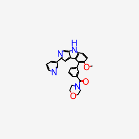 COc1ccc2[nH]c3cnc(-c4cccnc4)cc3c2c1-c1cccc(C(=O)N2CCOCC2)c1